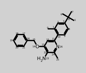 Cc1cc(C(C)(C)C)ccc1-c1cc(OCc2ccccc2)c(N)c(C)n1